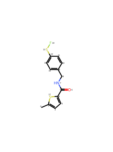 Cc1ccc(C(=O)NCc2ccc(SF)cc2)s1